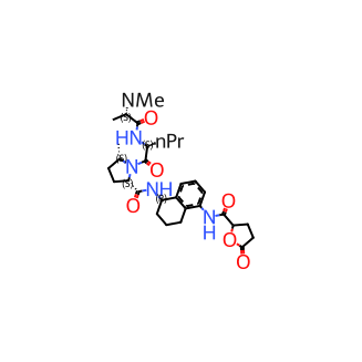 CCC[C@H](NC(=O)[C@H](C)NC)C(=O)N1[C@@H](C)CC[C@H]1C(=O)N[C@@H]1CCCc2c(NC(=O)C3CCC(=O)O3)cccc21